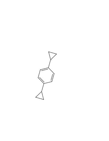 c1cc(C2CC2)ccc1[C]1CC1